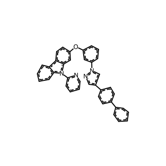 c1ccc(-c2ccc(-c3cnn(-c4cccc(Oc5ccc6c7ccccc7n(-c7ccccn7)c6c5)c4)c3)cc2)cc1